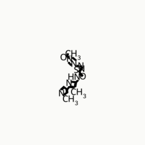 CC(=O)N1CCN(c2nnc(C(=O)NCc3cnc(-c4ccnc(C)c4)c(C)c3)s2)CC1